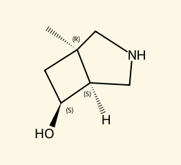 C[C@]12CNC[C@H]1[C@@H](O)C2